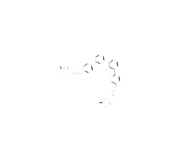 COc1nc(-c2cccc(-c3cccc(-c4ccc(CNC[C@@H]5CCC(=O)N5)cc4F)c3Cl)c2Cl)ccc1CNC[C@@H]1CCC(=O)N1